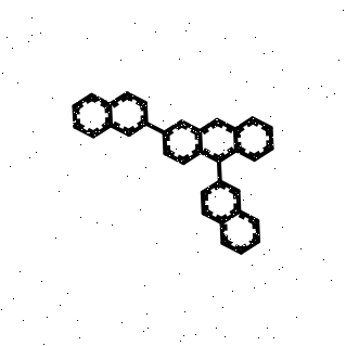 c1ccc2cc(-c3ccc4c(-c5ccc6ccccc6c5)c5ccccc5cc4c3)ccc2c1